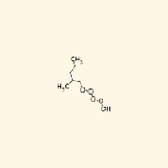 CCCC(C)COOOOO